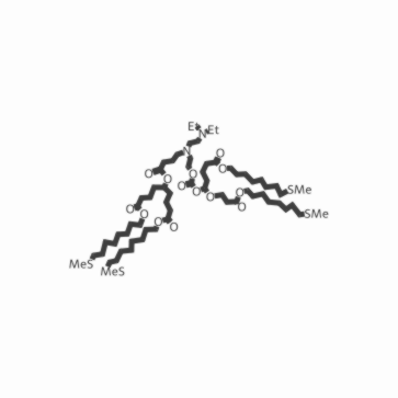 CCN(CC)CCN(CCCC(=O)OC(CCCC(=O)OCCCCCCCCSC)CCCC(=O)OCCCCCCCCSC)CCOC(=O)OC(CCCC(=O)OCCCCCCCCSC)OCCC(=O)OCCCCCCCCSC